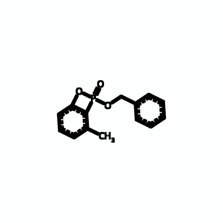 Cc1cccc2c1P(=O)(OCc1ccccc1)O2